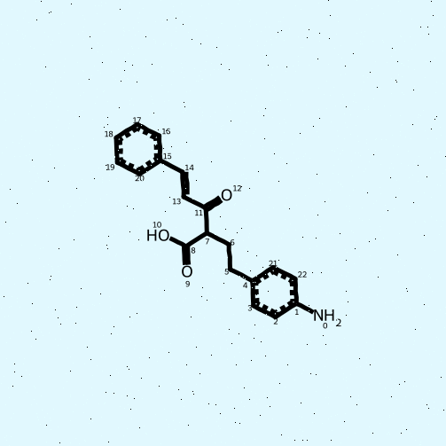 Nc1ccc(CCC(C(=O)O)C(=O)C=Cc2ccccc2)cc1